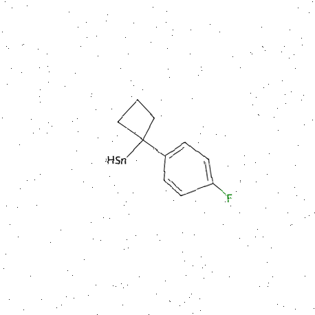 Fc1ccc([C]2([SnH])CCC2)cc1